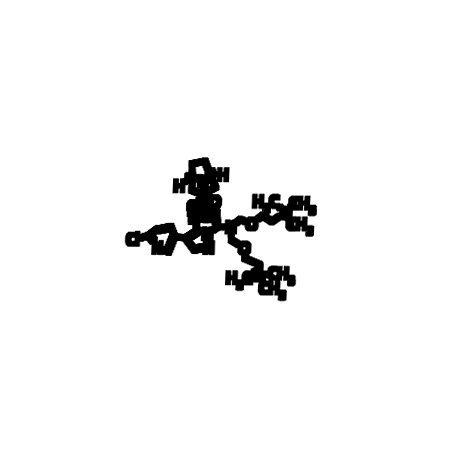 CC(C)(C)OC(=O)N1[C@H]2CC[C@H]1CC(c1cc(N(COCC[Si](C)(C)C)COCC[Si](C)(C)C)n3ncc(-c4ccc(Cl)nc4)c3n1)C2